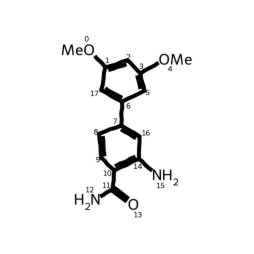 COc1cc(OC)cc(-c2ccc(C(N)=O)c(N)c2)c1